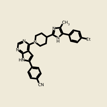 CCc1ccc(-c2[nH]c(C3CCN(c4ncnc5[nH]c(-c6ccc(C#N)cc6)cc45)CC3)nc2C)cc1